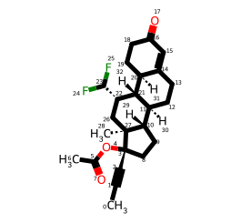 CC#C[C@]1(OC(C)=O)CC[C@H]2[C@@H]3CCC4=CC(=O)CC[C@@H]4[C@H]3[C@@H](C(F)F)C[C@@]21C